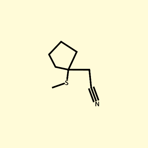 CSC1(CC#N)CCCC1